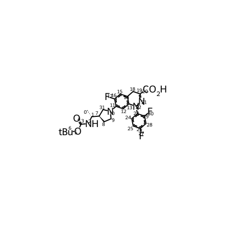 C[C@@H](NC(=O)OC(C)(C)C)[C@@H]1CCN(c2cc3c(cc2F)CC(C(=O)O)=NN3c2ccc(F)cc2F)C1